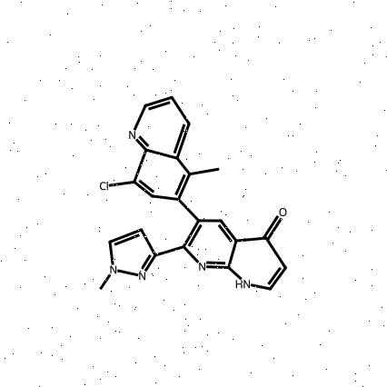 Cc1c(-c2cc3c(=O)cc[nH]c3nc2-c2ccn(C)n2)cc(Cl)c2ncccc12